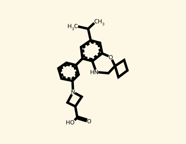 CC(C)c1cc2c(c(-c3cccc(N4CC(C(=O)O)C4)c3)c1)NCC1(CCC1)O2